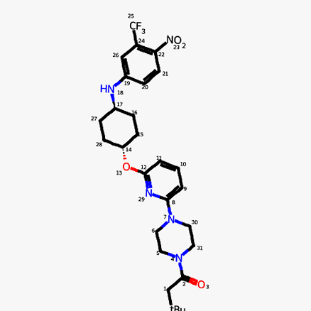 CC(C)(C)CC(=O)N1CCN(c2cccc(O[C@H]3CC[C@H](Nc4ccc([N+](=O)[O-])c(C(F)(F)F)c4)CC3)n2)CC1